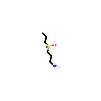 CCC[S@@+]([O-])CCCN